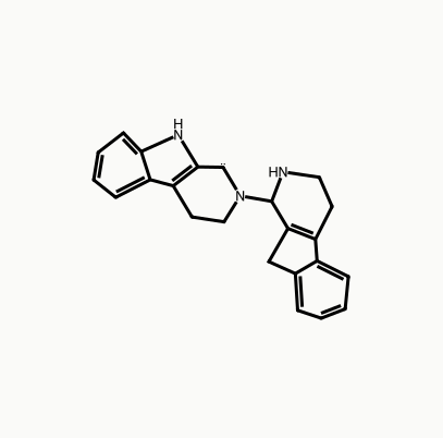 [C]1c2[nH]c3ccccc3c2CCN1C1NCCC2=C1Cc1ccccc12